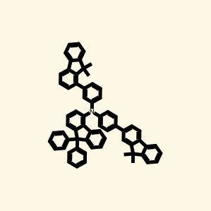 CC1(C)c2ccccc2-c2ccc(-c3ccc(N(c4cccc(-c5cccc6c5C(C)(C)c5ccccc5-6)c4)c4cccc5c4-c4ccccc4C5(c4ccccc4)c4ccccc4)cc3)cc21